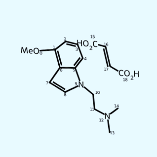 COc1cccc2c1ccn2CCN(C)C.O=C(O)/C=C/C(=O)O